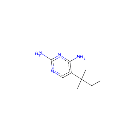 CCC(C)(C)c1cnc(N)nc1N